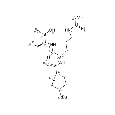 CNC(=N)NCCC[C@H](NC(=O)C1CCC(C(C)(C)C)CC1)C(=O)N[C@@H](CC(C)C)B(O)O